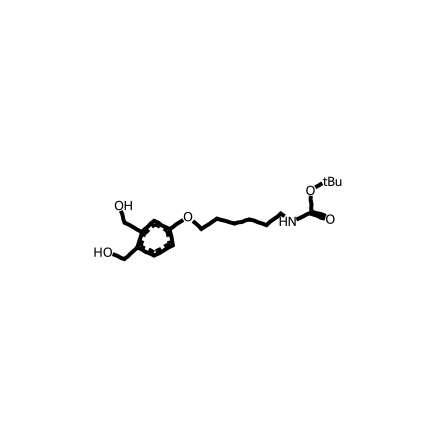 CC(C)(C)OC(=O)NCCCCCCOc1ccc(CO)c(CO)c1